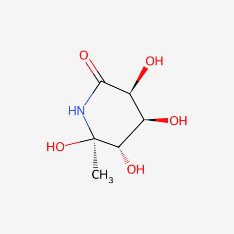 C[C@]1(O)NC(=O)[C@@H](O)[C@@H](O)[C@@H]1O